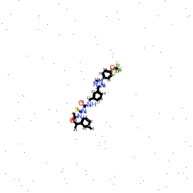 Cc1ccc(N2C(=O)CS/C2=N\C(=O)NCc2cccc(-c3ncn(-c4ccc(OC(F)(F)F)cc4)n3)c2)c(C(C)C)c1